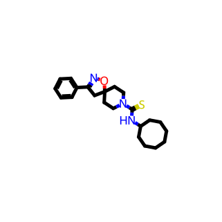 S=C(NC1CCCCCCC1)N1CCC2(CC1)CC(c1ccccc1)=NO2